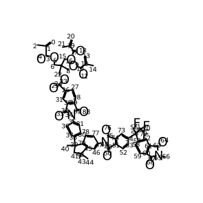 C=C(C)C(=O)OCC(COC(=O)C(=C)C)(COC(=O)C(=C)C)COC(=O)c1ccc2c(c1)C(=O)N(c1ccc(C3(C)CC(C)(C)c4cc(N5C(=O)c6ccc(C(C)(c7ccc8c(c7)C(=O)N(C)C8=O)C(F)(F)F)cc6C5=O)ccc43)cc1)C2=O